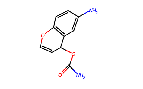 NC(=O)OC1C=COc2ccc(N)cc21